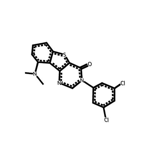 CN(C)c1cccc2sc3c(=O)n(-c4cc(Cl)cc(Cl)c4)cnc3c12